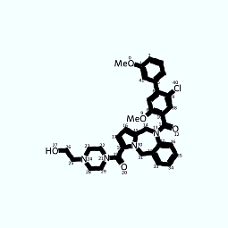 COc1cccc(-c2cc(OC)c(C(=O)N3Cc4ccc(C(=O)N5CCN(CCO)CC5)n4Cc4ccccc43)cc2Cl)c1